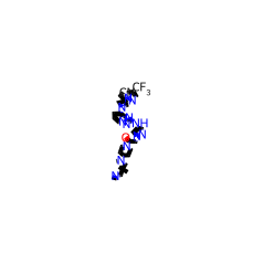 C=NCC(C)(C)CN(C)C1CCN(C(=O)Cn2cc(Nc3nc4c(N5CC(CC#N)(n6cc(C(F)(F)F)cn6)C5)cccn4n3)cn2)CC1